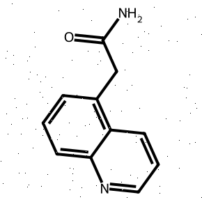 NC(=O)Cc1cccc2ncccc12